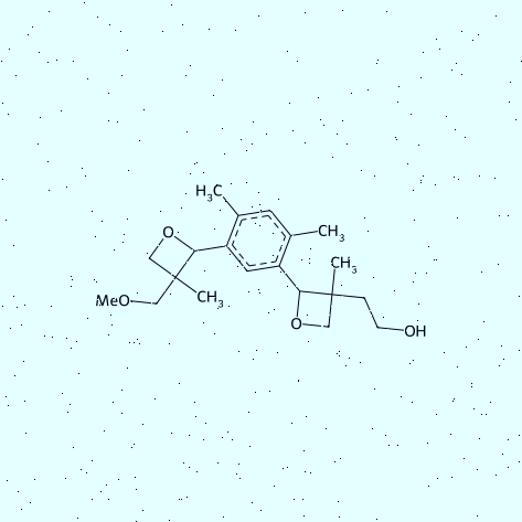 COCC1(C)COC1c1cc(C2OCC2(C)CCO)c(C)cc1C